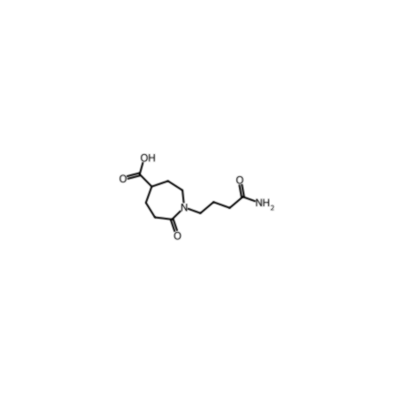 NC(=O)CCCN1CCC(C(=O)O)CCC1=O